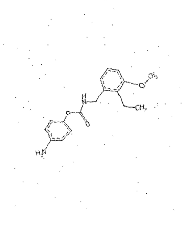 CCc1c(CNC(=O)Oc2ccc(N)cc2)cccc1OC